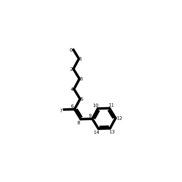 CCCCCCC(C)=Cc1ccccc1